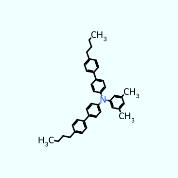 CCCCc1ccc(-c2ccc(N(c3ccc(-c4ccc(CCCC)cc4)cc3)c3cc(C)cc(C)c3)cc2)cc1